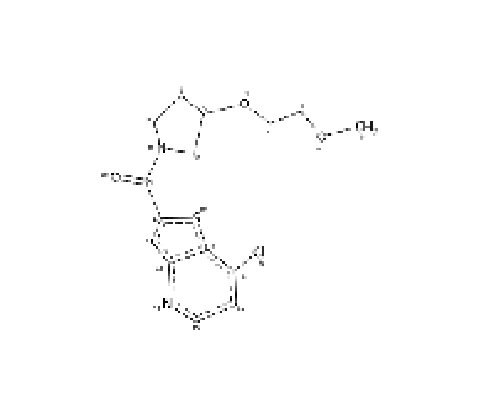 COCCOC1CCN(C(=O)c2cc3nccc(Cl)c3s2)C1